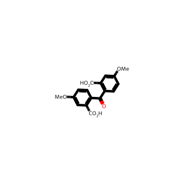 COc1ccc(C(=O)c2ccc(OC)cc2C(=O)O)c(C(=O)O)c1